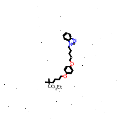 CCOC(=O)C(C)(C)CCCCOc1ccc(OCCCCCn2cnc3ccccc32)cc1